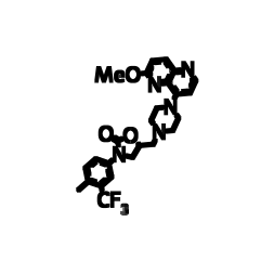 COc1ccc2nccc(N3CCN(CC4CN(c5ccc(C)c(C(F)(F)F)c5)C(=O)O4)CC3)c2n1